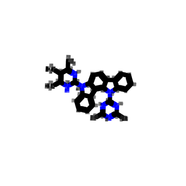 CCc1nc(CC)nc(-n2c3ccccc3c3ccc4c(c5ccccc5n4C4N=C(C)C(C)=C(C)N4)c32)n1